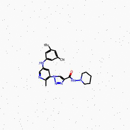 Cc1ncc(Nc2cc(C#N)cc(C(C)(C)C)c2)cc1-n1cc(C(=O)NN2CCCCC2)nn1